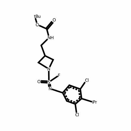 CC(C)c1c(Cl)cc(N=S(=O)(F)N2CC(CNC(=O)OC(C)(C)C)C2)cc1Cl